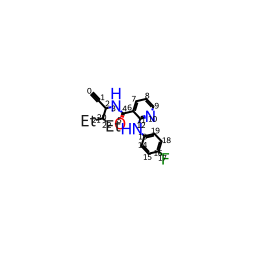 C#CC(NC(=O)c1cccnc1Nc1ccc(F)cc1)C(CC)CC